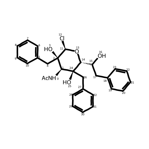 CC(=O)N[C@H]1[C@](O)(Cc2ccccc2)[C@@H](Cl)O[C@H](C(O)Cc2ccccc2)[C@]1(O)Cc1ccccc1